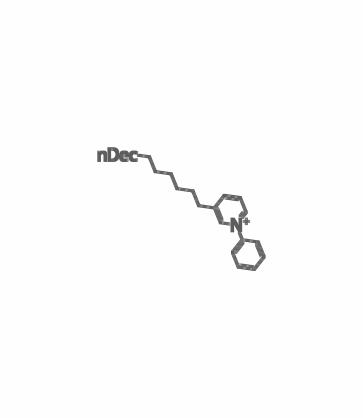 CCCCCCCCCCCCCCCCc1ccc[n+](-c2ccccc2)c1